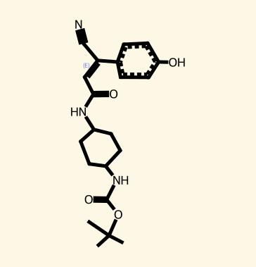 CC(C)(C)OC(=O)NC1CCC(NC(=O)/C=C(/C#N)c2ccc(O)cc2)CC1